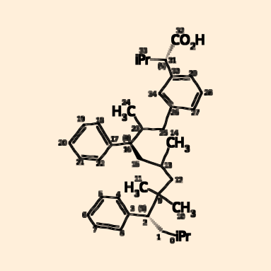 CC(C)C[C@H](c1ccccc1)C(C)(C)CC(C)C[C@@H](c1ccccc1)C(C)Cc1cccc([C@@H](C(=O)O)C(C)C)c1